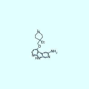 CCC1(COc2ccnc3[nH]c4cnc(N)cc4c23)CCN(C)CC1